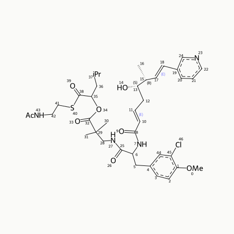 COc1ccc(CC(NC(=O)/C=C/C[C@H](O)[C@H](C)/C=C/c2cccnc2)C(=O)NCC(C)(C)C(=O)OC(CC(C)C)C(=O)SCCNC(C)=O)cc1Cl